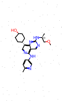 COC[C@H](C)Nc1ncc2c(Nc3ccc(C)nc3)ncc([C@H]3CC[C@H](O)CC3)c2n1